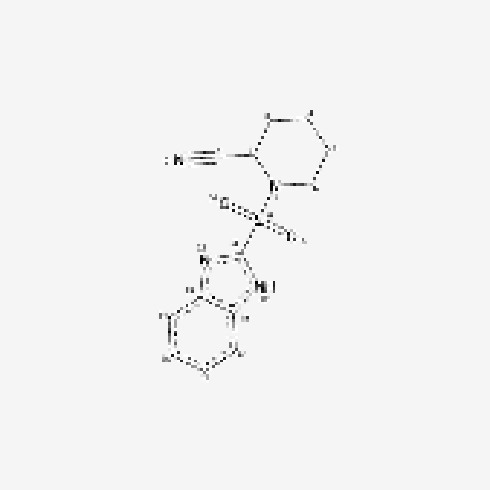 N#CC1CCCCN1S(=O)(=O)c1nc2ccccc2[nH]1